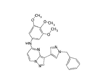 COc1cc(Nc2ccn3ncc(-c4cnn(Cc5ccccc5)c4)c3n2)cc(OC)c1OC